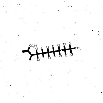 C=C(C(=O)O)C(C)C(Cl)(Cl)C(Cl)(Cl)C(Cl)(Cl)C(Cl)(Cl)C(Cl)(Cl)C(Cl)(Cl)C(Cl)(Cl)C(Cl)(Cl)Cl